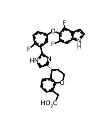 O=C(O)Cc1cccc2c1OCC[C@H]2c1c[nH]c(-c2cc(Oc3c(F)cc4[nH]ccc4c3F)ccc2F)n1